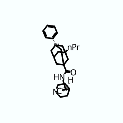 CCC[C@]12CC3CC(C(=O)N[C@@H]4CN5CCC4CC5)(C1)C[C@@](c1ccccc1)(C3)C2